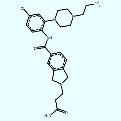 NC(=O)CCN1Cc2ccc(C(=O)Nc3ccc(Cl)cc3N3CCN(CCC(F)(F)F)CC3)cc2C1